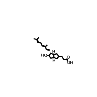 CC(C)=CC/C=C(C)/C=C/[C@@H]1[C@H]2CC(CCC(=O)O)C[C@H]2C[C@H]1O